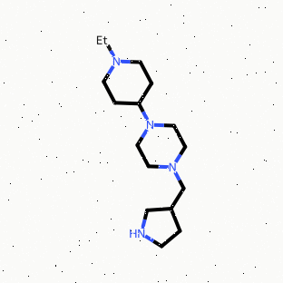 CCN1CCC(N2CCN(CC3CCNC3)CC2)CC1